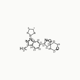 Cc1nn(C2CCCC2)c2cc(C3=NOC4(CCOCC4)C3)ccc12